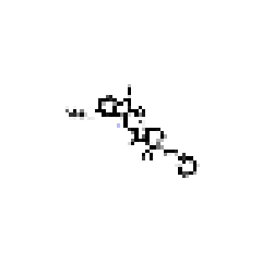 COc1ccc2c(c1)/C(=C/c1[nH]c3c(c1C)C(=O)N(CCN1CCCCC1)CC3)C(=O)N2